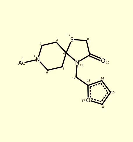 CC(=O)N1CCC2(CC1)SCC(=O)N2Cc1ccco1